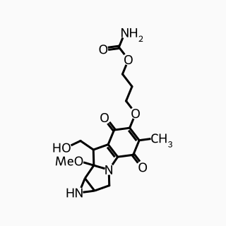 COC12C(CO)C3=C(C(=O)C(C)=C(OCCCOC(N)=O)C3=O)N1CC1NC12